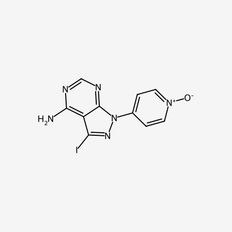 Nc1ncnc2c1c(I)nn2-c1cc[n+]([O-])cc1